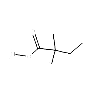 CCC(C)(C)C(=O)ON